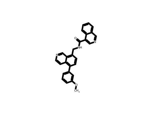 COc1cccc(-c2ccc(CNC(=O)c3cncc4ccccc34)c3cnccc23)c1